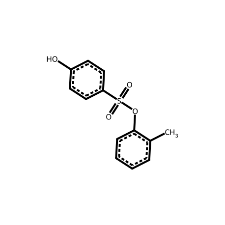 Cc1ccccc1OS(=O)(=O)c1ccc(O)cc1